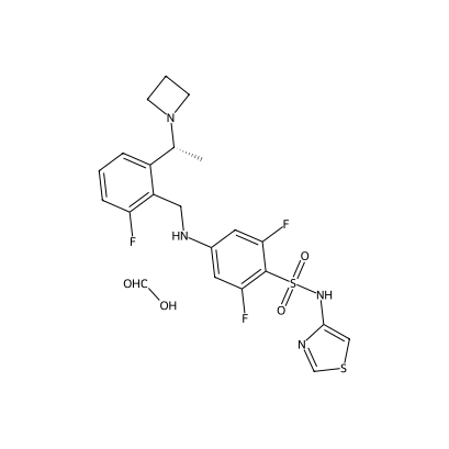 C[C@H](c1cccc(F)c1CNc1cc(F)c(S(=O)(=O)Nc2cscn2)c(F)c1)N1CCC1.O=CO